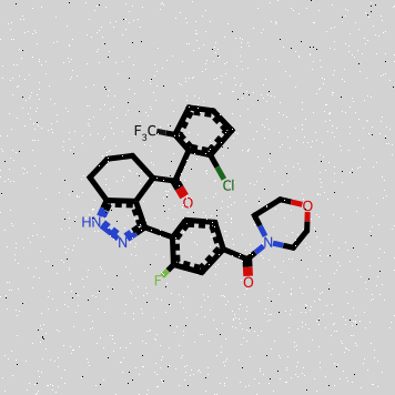 O=C(c1c(Cl)cccc1C(F)(F)F)C1CCCc2[nH]nc(-c3ccc(C(=O)N4CCOCC4)cc3F)c21